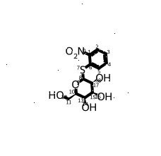 O=[N+]([O-])c1ccccc1SC1O[C@H](CO)[C@H](O)[C@H](O)[C@H]1O